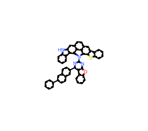 c1ccc(-c2ccc3cc(-c4nc(-n5c6c7sc8ccccc8c7cc7ccc8cc9[nH]c%10ccccc%10c9c5c8c76)nc5oc6ccccc6c45)ccc3c2)cc1